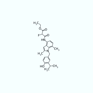 CCOC(=O)C(F)C(=O)Nc1ccc(C)c2c1cc(C)n2Cc1ccc(O)c(C(C)C)c1